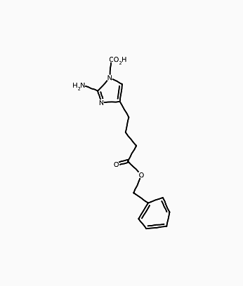 Nc1nc(CCCC(=O)OCc2ccccc2)cn1C(=O)O